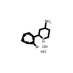 Cl.Cl.NC1CCNC(c2ccccc2Br)C1